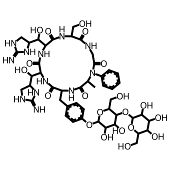 CC1C(=O)NC(Cc2ccc(OC3OC(CO)C(OC4OC(CO)C(O)C(O)C4O)C(O)C3O)cc2)C(=O)NC(C(O)C2CNC(=N)N2)C(=O)NC(C(O)C2CNC(=N)N2)C(=O)NC(CO)C(=O)NCC(=O)N1c1ccccc1